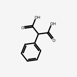 O=C(O)[C](C(=O)O)c1ccccc1